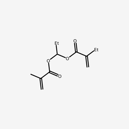 C=C(C)C(=O)OC(CC)OC(=O)C(=C)CC